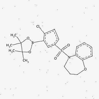 CC1(C)OB(c2cc(S(=O)(=O)N3CCCOc4ccccc43)ccc2Cl)OC1(C)C